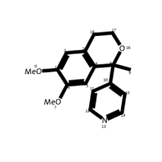 COc1cc2c(cc1OC)C(C)(c1ccncc1)OCC2